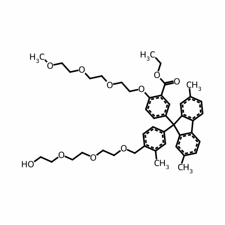 CCOC(=O)c1cc(C2(c3ccc(COCCOCCOCCO)c(C)c3)c3cc(C)ccc3-c3ccc(C)cc32)ccc1OCCOCCOCCOC